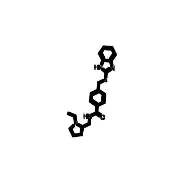 CCN1CCCC1CNC(=O)c1ccc(CSc2nc3ccccc3[nH]2)cc1